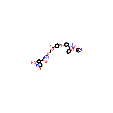 O=C(N[C@@H](c1ccccc1)c1cccc(OCc2ccc(C(=O)OCCOCCNC[C@H](O)c3ccc(O)c4[nH]c(=O)ccc34)cc2)c1)OC1CN2CCC1CC2